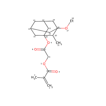 C=C(C)C(=O)OCC(=O)OC12CC3CC(CC(OCC)(C3)C1C)C2